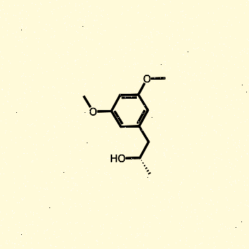 COc1cc(C[C@H](C)O)cc(OC)c1